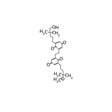 COC(C)(C)CCCC1=CC(=O)C=C(CCC2=CC(=O)C=C(CCCC(C)(C)CO)C2=O)C1=O